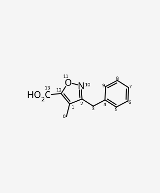 Cc1c(Cc2ccccc2)noc1C(=O)O